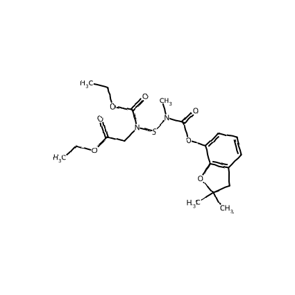 CCOC(=O)CN(SN(C)C(=O)Oc1cccc2c1OC(C)(C)C2)C(=O)OCC